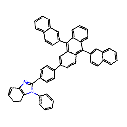 C1=Cc2nc(-c3ccc(-c4ccc5c(-c6ccc7ccccc7c6)c6ccccc6c(-c6ccc7ccccc7c6)c5c4)cc3)n(-c3ccccc3)c2CC1